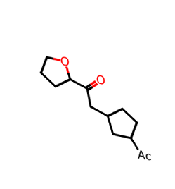 CC(=O)C1CCC(CC(=O)C2CCCO2)C1